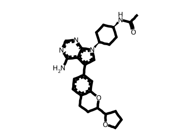 CC(=O)N[C@H]1CC[C@@H](n2cc(-c3ccc4c(c3)OC(C3CCCO3)CC4)c3c(N)ncnc32)CC1